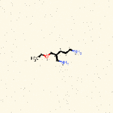 CCOCC(CN)CCCN